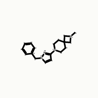 CN1CC2(CCN(c3ccn(Cc4ccccc4)n3)CC2)C1